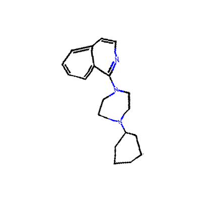 [CH]1CCCC(N2CCN(c3nccc4ccccc34)CC2)C1